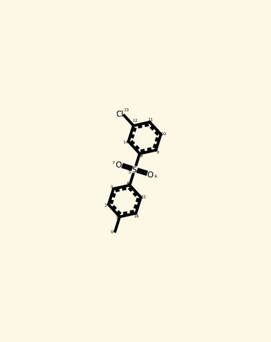 Cc1ccc(S(=O)(=O)c2cccc(Cl)c2)cc1